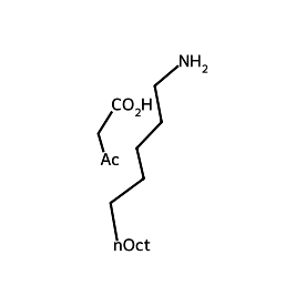 CC(=O)CC(=O)O.CCCCCCCCCCCCCN